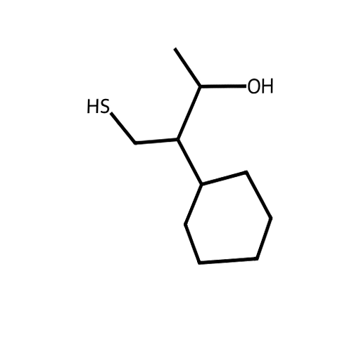 CC(O)C(CS)C1CCCCC1